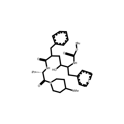 CNC1CCN(C(=O)[C@@H](NC(=O)C(Cc2ccccc2)CC(O)C(Cc2ccccc2)NC(=O)OC(C)(C)C)C(C)C)CC1